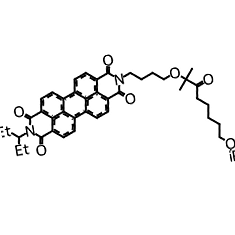 CCC(CC)N1C(=O)c2ccc3c4ccc5c6c(ccc(c7ccc(c2c37)C1=O)c64)C(=O)N(CCCCOC(C)(C)C(=O)CCCCCOC(C)C)C5=O